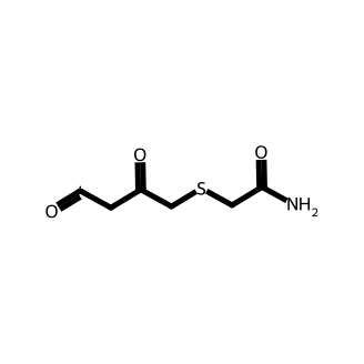 NC(=O)CSCC(=O)C[C]=O